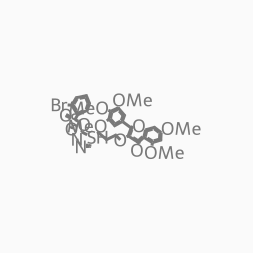 COc1cc(OC)c2c(=O)c(OCCC[SH]3C=NN=C3OS(=O)(=O)c3ccccc3Br)c(-c3cc(OC)c(OC)c(OC)c3)oc2c1